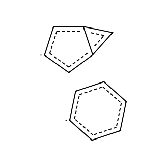 [c]1cc2cc-2c1.[c]1ccccc1